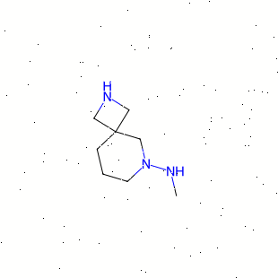 CNN1CCCC2(CNC2)C1